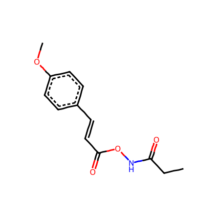 CCC(=O)NOC(=O)C=Cc1ccc(OC)cc1